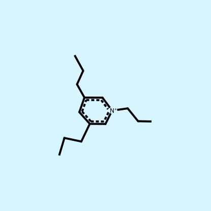 CCCc1cc(CCC)c[n+](CCC)c1